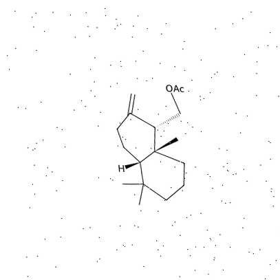 C=C1CC[C@H]2C(C)(C)CCC[C@@]2(C)[C@H]1COC(C)=O